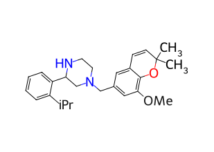 COc1cc(CN2CCNC(c3ccccc3C(C)C)C2)cc2c1OC(C)(C)C=C2